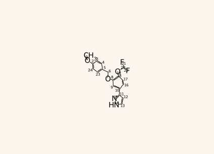 COc1ccc(COc2cc(-c3cc[nH]n3)ccc2OC(F)F)cc1